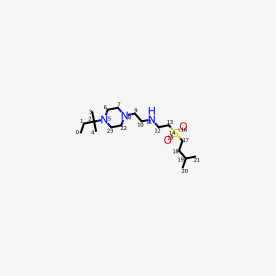 CCC(C)(C)N1CCN(CCNCCS(=O)(=O)CCC(C)C)CC1